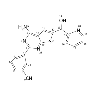 N#Cc1cccc(-c2nc(N)c3cc(C(O)c4ccccn4)sc3n2)c1